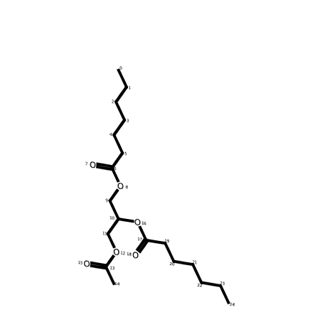 CCCCCCC(=O)OCC(COC(C)=O)OC(=O)CCCCCC